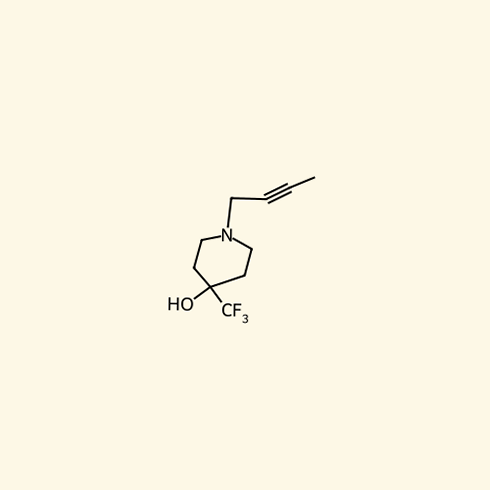 CC#CCN1CCC(O)(C(F)(F)F)CC1